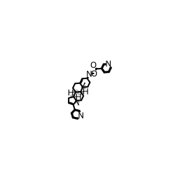 C[C@]12CCC(=NOC(=O)c3cccnc3)C=C1CC[C@H]1[C@@H]2CC[C@]2(C)C(c3cccnc3)=CC[C@@H]12